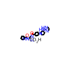 O=C(NC[C@H](NC(=O)c1ccccc1)C(=O)O)c1ccc(N2CCC[C@H](NC3=NCCCN3)C2)cc1